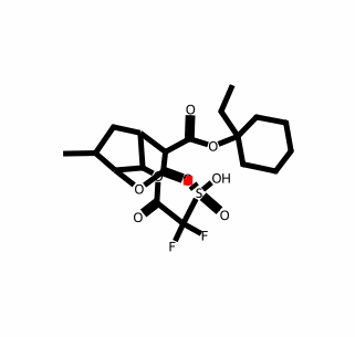 CCC1(OC(=O)C2C(=O)OC3C(C)CC2C3OC(=O)C(F)(F)S(=O)(=O)O)CCCCC1